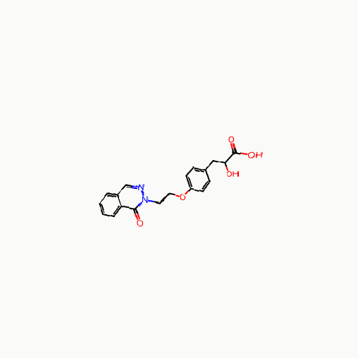 O=C(O)C(O)Cc1ccc(OCCn2ncc3ccccc3c2=O)cc1